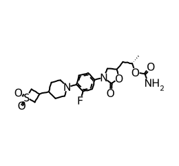 C[C@@H](CC1CN(c2ccc(N3CCC(C4CS(=O)(=O)C4)CC3)c(F)c2)C(=O)O1)OC(N)=O